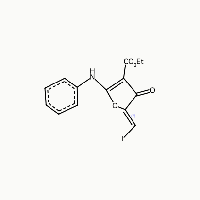 CCOC(=O)C1=C(Nc2ccccc2)O/C(=C\I)C1=O